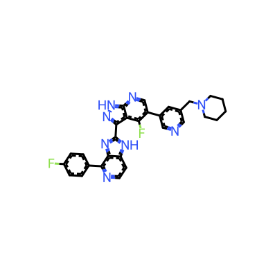 Fc1ccc(-c2nccc3[nH]c(-c4n[nH]c5ncc(-c6cncc(CN7CCCCC7)c6)c(F)c45)nc23)cc1